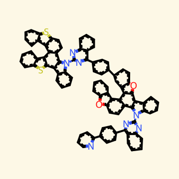 c1ccc(-c2ccc(-c3nc(-n4c5ccccc5c5c6oc7ccc(-c8ccc(-c9nc(-n%10c%11ccccc%11c%11c%12sc%13ccccc%13c%12c%12c(ccc%13sc%14ccccc%14c%13%12)c%11%10)nc%10ccccc9%10)cc8)cc7c6c6c(ccc7oc8ccccc8c76)c54)nc4ccccc34)cc2)nc1